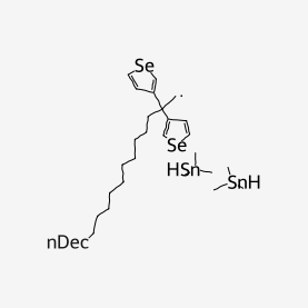 [CH2]C(CCCCCCCCCCCCCCCCCCCC)(c1cc[se]c1)c1cc[se]c1.[CH3][SnH]([CH3])[CH3].[CH3][SnH]([CH3])[CH3]